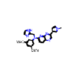 COC1=CC(N(Cc2ncc[nH]2)c2ccc3ncc(-c4ccn(C)c4)nc3n2)CC(OC)=C1